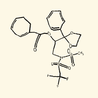 CS(=O)(=O)N(CC(OC(=O)C1=CC=CCC1)C1(c2ccccc2)OCCO1)S(=O)(=O)C(F)(F)F